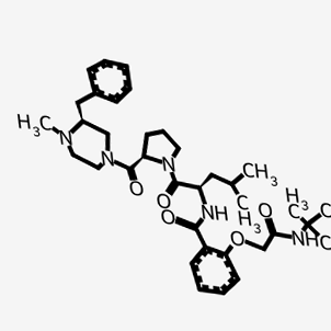 CC(C)C[C@@H](NC(=O)c1ccccc1OCC(=O)NC(C)(C)C)C(=O)N1CCC[C@@H]1C(=O)N1CCN(C)[C@@H](Cc2ccccc2)C1